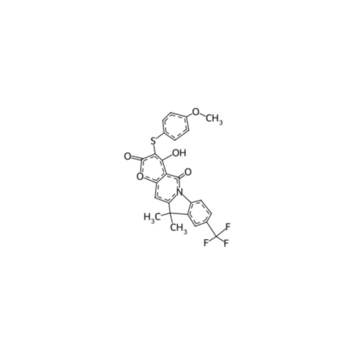 COc1ccc(Sc2c(O)c3c(=O)n4c(cc3oc2=O)C(C)(C)c2cc(C(F)(F)F)ccc2-4)cc1